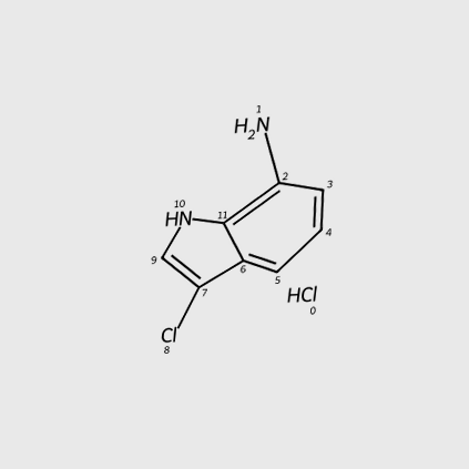 Cl.Nc1cccc2c(Cl)c[nH]c12